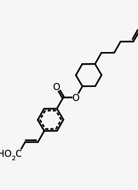 C=CCCCC1CCC(OC(=O)c2ccc(C=CC(=O)O)cc2)CC1